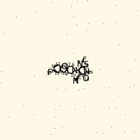 Cc1nc2c(N3CCC4(CC3)Cc3cc(F)ccc3O4)c(C#N)c(=O)n(C)c2s1